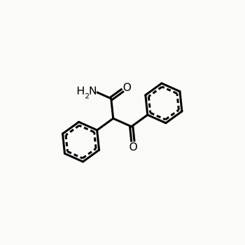 NC(=O)C(C(=O)c1ccccc1)c1ccccc1